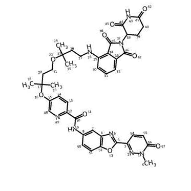 Cn1nc(-c2nc3cc(NC(=O)c4ccc(OC(C)(C)CCOC(C)(C)CCNc5cccc6c5C(=O)N(C5CCC(=O)NC5=O)C6=O)cn4)ccc3o2)ccc1=O